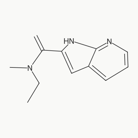 C=C(c1cc2cccnc2[nH]1)N(C)CC